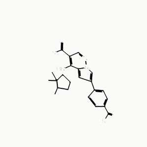 CC1CC[C@@H](Nc2c(C(N)=O)cnn3cc(-c4ccc(C(N)=O)cc4)cc23)C1(C)C